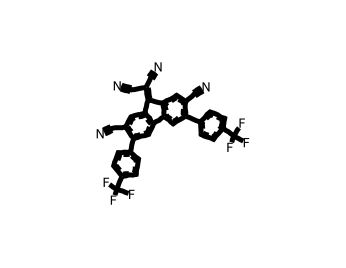 N#CC(C#N)=C1c2cc(C#N)c(-c3ccc(C(F)(F)F)cc3)cc2-c2cc(-c3ccc(C(F)(F)F)cc3)c(C#N)cc21